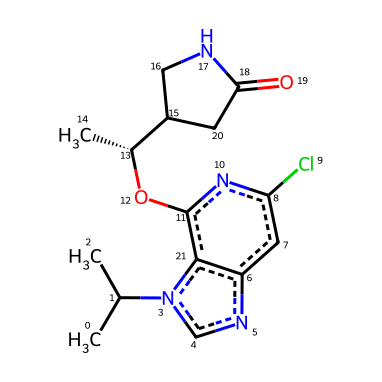 CC(C)n1cnc2cc(Cl)nc(O[C@H](C)C3CNC(=O)C3)c21